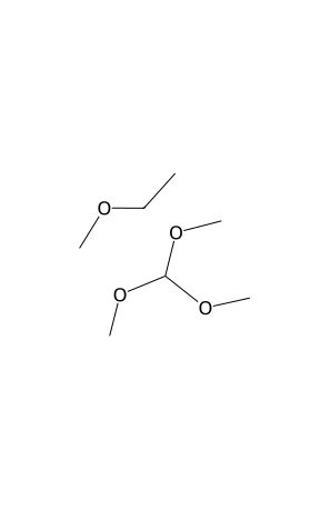 CCOC.COC(OC)OC